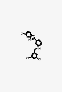 Clc1cc(Cl)cc(CNc2cccc(-c3nc4ccc(Cl)nc4[nH]3)c2)c1